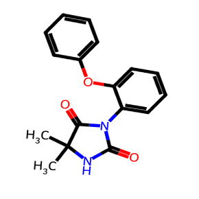 CC1(C)NC(=O)N(c2ccccc2Oc2ccccc2)C1=O